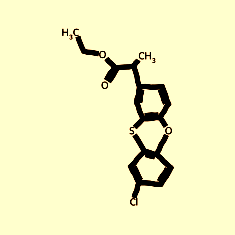 CCOC(=O)C(C)c1ccc2c(c1)Sc1cc(Cl)ccc1O2